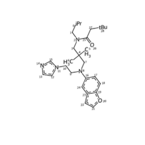 CC(C)CN(CC(C)(C)CN(CCn1ccnc1)c1ccc2occc2c1)C(=O)CC(C)(C)C